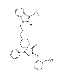 O=C(O)c1ccccc1CN1CN(c2ccccc2)C2(CCN(CCCn3c(=O)n(C4CC4)c4ccccc43)CC2)C1=O